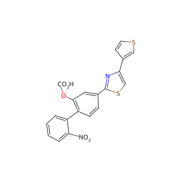 O=C(O)Oc1cc(-c2nc(-c3ccsc3)cs2)ccc1-c1ccccc1[N+](=O)[O-]